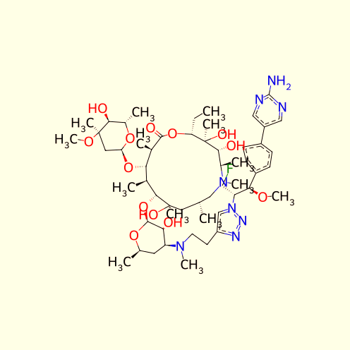 CC[C@H]1OC(=O)[C@H](C)[C@@H](O[C@H]2C[C@@](C)(OC)[C@@H](O)[C@H](C)O2)[C@H](C)[C@@H](O[C@@H]2O[C@H](C)C[C@H](N(C)CCc3cn([C@H](CF)[C@H](OC)c4ccc(-c5cnc(N)nc5)cc4)nn3)[C@H]2O)[C@](C)(O)C[C@@H](C)CN(C)[C@H](C)[C@@H](O)[C@]1(C)O